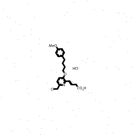 COc1ccc(CCCCOc2ccc(CCl)nc2/C=C/CC(=O)O)cc1.Cl